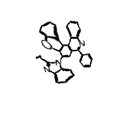 CCc1nc2ccccc2n1-c1cc2c(-c3ccccc3)nc3ccccc3c2c2c1oc1ccccc12